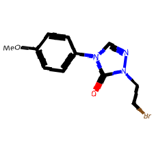 COc1ccc(-n2cnn(CCBr)c2=O)cc1